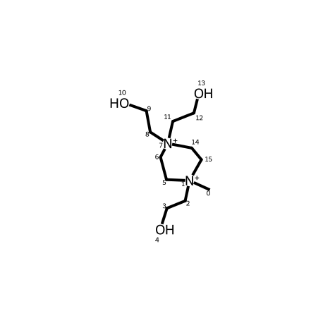 C[N+]1(CCO)CC[N+](CCO)(CCO)CC1